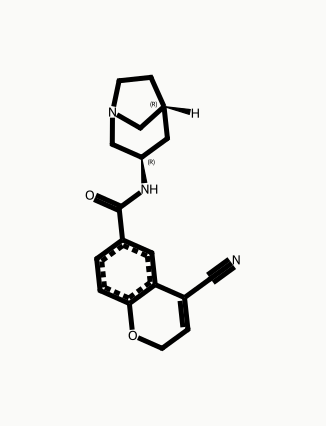 N#CC1=CCOc2ccc(C(=O)N[C@@H]3C[C@H]4CCN(C4)C3)cc21